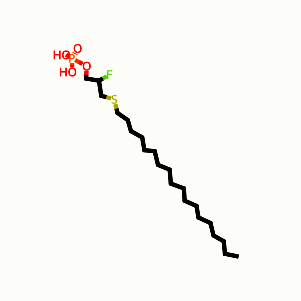 CCCCCCCCCCCCCCCCCCSCC(F)COP(=O)(O)O